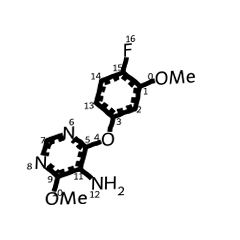 COc1cc(Oc2ncnc(OC)c2N)ccc1F